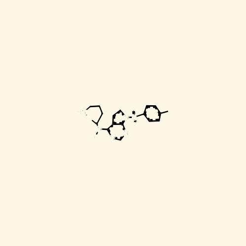 Cc1ccc(S(=O)(=O)n2ccc3c(N(C(C)C)C4CCCNC4)ncnc32)cc1